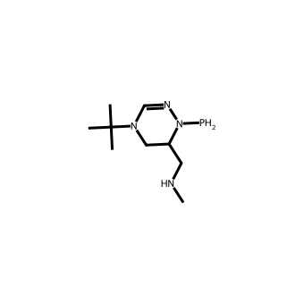 CNCC1CN(C(C)(C)C)C=NN1P